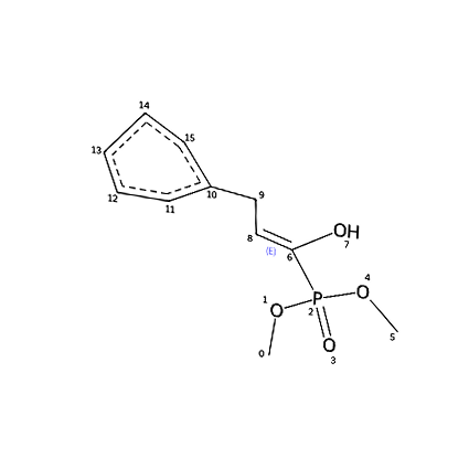 COP(=O)(OC)/C(O)=C/Cc1ccccc1